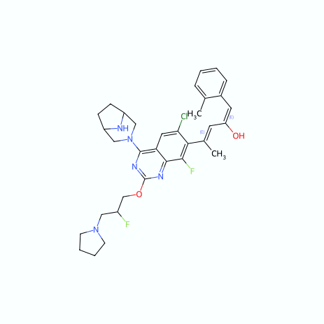 C/C(=C\C(O)=C/c1ccccc1C)c1c(Cl)cc2c(N3CC4CCC(C3)N4)nc(OCC(F)CN3CCCC3)nc2c1F